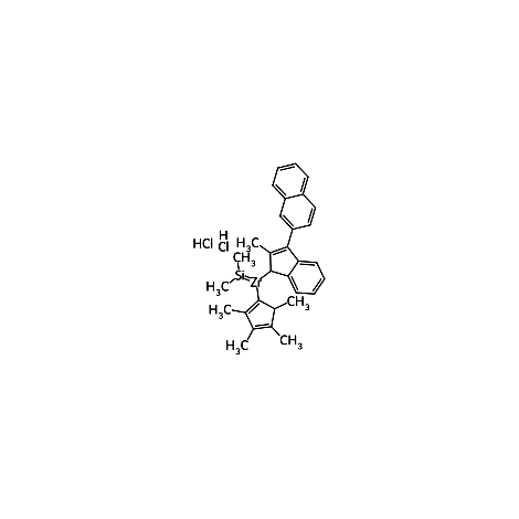 CC1=C(C)C(C)[C]([Zr]([CH]2C(C)=C(c3ccc4ccccc4c3)c3ccccc32)=[Si](C)C)=C1C.Cl.Cl